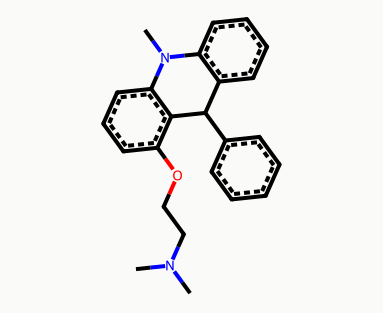 CN(C)CCOc1cccc2c1C(c1ccccc1)c1ccccc1N2C